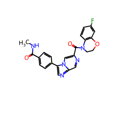 CNC(=O)c1ccc(-c2cnc3cnc(C(=O)N4CCOc5cc(F)ccc54)cn23)cc1